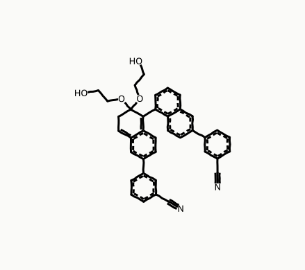 N#Cc1cccc(-c2ccc3c(c2)=CCC(OCCO)(OCCO)C=3c2cccc3cc(-c4cccc(C#N)c4)ccc23)c1